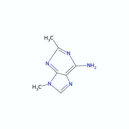 Cc1nc(N)c2ncn(C)c2n1